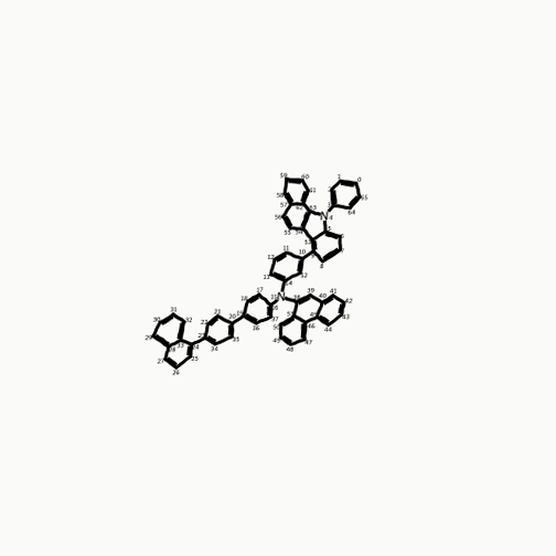 c1ccc(-n2c3cccc(-c4cccc(N(c5ccc(-c6ccc(-c7cccc8ccccc78)cc6)cc5)c5cc6ccccc6c6ccccc56)c4)c3c3ccc4ccccc4c32)cc1